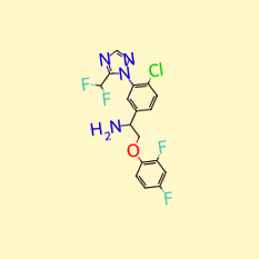 NC(COc1ccc(F)cc1F)c1ccc(Cl)c(-n2ncnc2C(F)F)c1